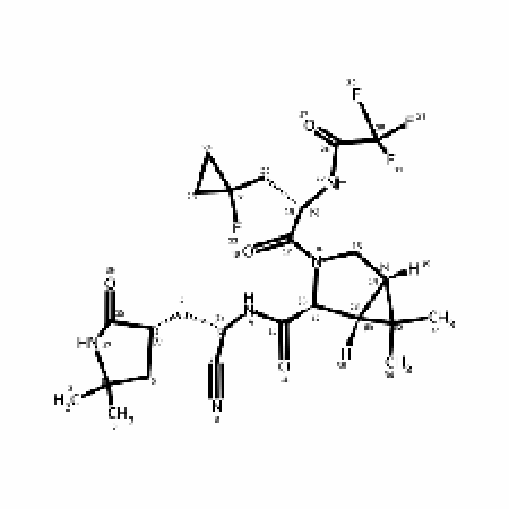 CC1(C)C[C@@H](C[C@@H](C#N)NC(=O)[C@@H]2[C@@H]3[C@H](CN2C(=O)[C@H](CC2(F)CC2)NC(=O)C(F)(F)F)C3(C)C)C(=O)N1